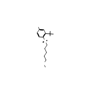 COCCCCCS(=O)(=O)c1ccc(F)cc1C(F)(F)F